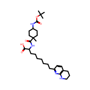 CC(C)(C)OC(=O)NC1CCC(C)(C(=O)NC(CCCCCCCc2ccc3c(n2)NCCC3)C(=O)O)CC1